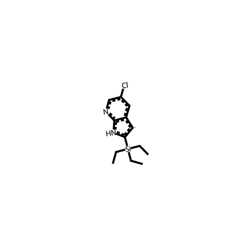 CC[Si](CC)(CC)c1[c]c2cc(Cl)cnc2[nH]1